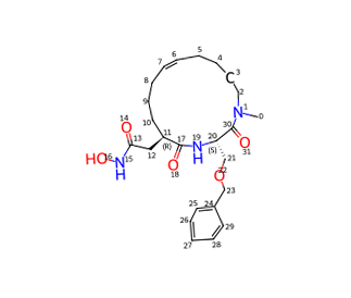 CN1CCCCC=CCCC[C@H](CC(=O)NO)C(=O)N[C@@H](COCc2ccccc2)C1=O